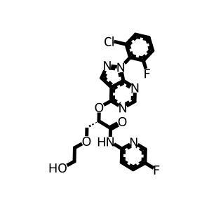 O=C(Nc1ccc(F)cn1)[C@H](COCCO)Oc1ncnc2c1cnn2-c1c(F)cccc1Cl